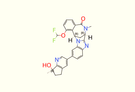 CN1C(=O)c2cccc(OC(F)F)c2[C@H]2C[C@@H]1c1nc3ccc(-c4cnc5c(c4)CC[C@@]5(C)O)cc3n12